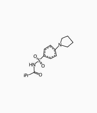 CC(C)C(=O)NS(=O)(=O)c1ccc(N2CCCC2)cc1